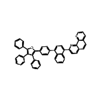 c1ccc(-c2oc(-c3ccc(-c4ccc(-c5ccc6ccc7cccnc7c6n5)c5ccccc45)cc3)c(-c3ccccc3)c2-c2ccccc2)cc1